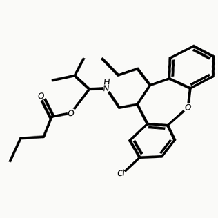 CCCC(=O)OC(NCC1c2cc(Cl)ccc2Oc2ccccc2C1CCC)C(C)C